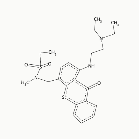 CCN(CC)CCNc1ccc(CN(C)S(=O)(=O)CC)c2sc3ccccc3c(=O)c12